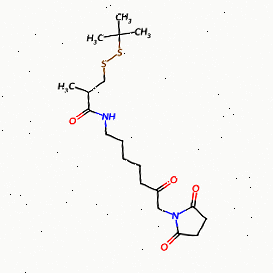 CC(CSSC(C)(C)C)C(=O)NCCCCCC(=O)CN1C(=O)CCC1=O